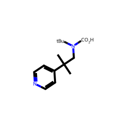 CC(C)(CN(C(=O)O)C(C)(C)C)c1ccncc1